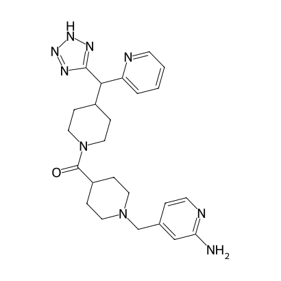 Nc1cc(CN2CCC(C(=O)N3CCC(C(c4ccccn4)c4nn[nH]n4)CC3)CC2)ccn1